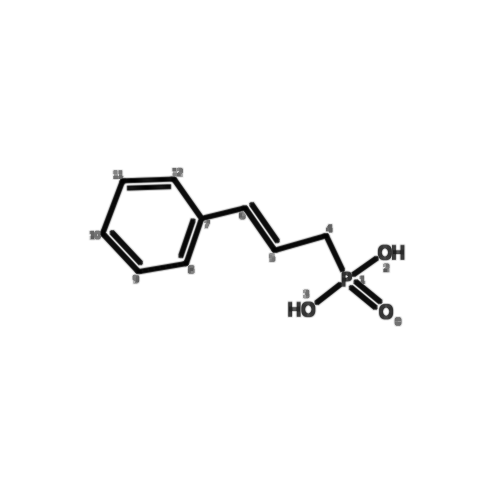 O=P(O)(O)C/C=C/c1ccccc1